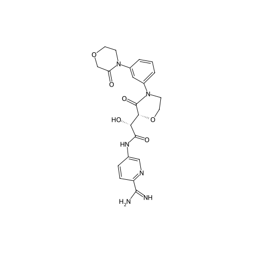 N=C(N)c1ccc(NC(=O)[C@H](O)[C@H]2OCCN(c3cccc(N4CCOCC4=O)c3)C2=O)cn1